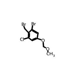 COCOc1cc(Cl)c(CBr)c(Br)c1